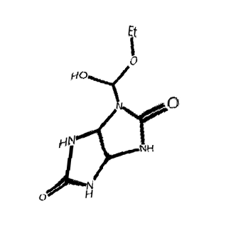 CCOC(O)N1C(=O)NC2NC(=O)NC21